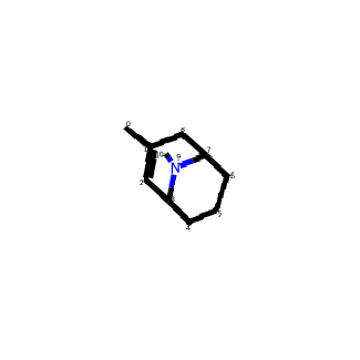 CC1=CC2CCCC(C1)N2C